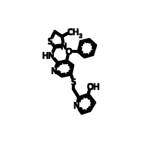 CC1CSC(Nc2ncc(SCc3ncccc3O)cc2Oc2ccccc2)=N1